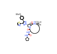 COc1ccc(-c2nn([C@@H]3C[C@H]4C(=O)N[C@@]5(C(=O)O)C[C@H]5CCCCCCC[C@@H](NC(=O)NC5CCCC5)C(=O)N4C3)nc2-c2nccs2)cc1